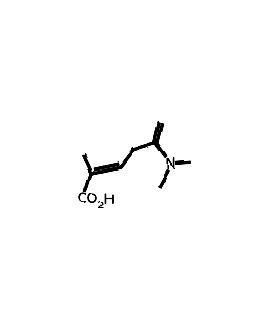 C=C(C/C=C(\C)C(=O)O)N(C)C